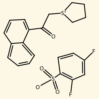 O=C(C[S+]1CCCC1)c1cccc2ccccc12.O=S(=O)([O-])c1ccc(F)cc1F